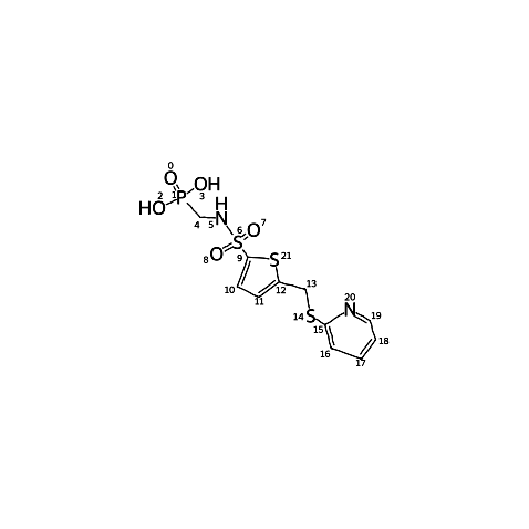 O=P(O)(O)CNS(=O)(=O)c1ccc(CSc2ccccn2)s1